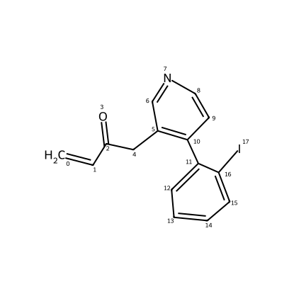 C=CC(=O)Cc1cnccc1-c1ccccc1I